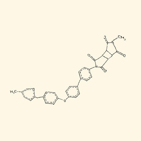 Cc1ccc(-c2ccc(Oc3ccc(-c4ccc(N5C(=O)C6C7C(=O)N(C)C(=O)C7C6C5=O)cc4)cc3)cc2)cc1